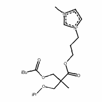 CCC(C)C(=O)OCC(C)(COC(C)C)C(=O)OCCC[n+]1ccn(C)c1